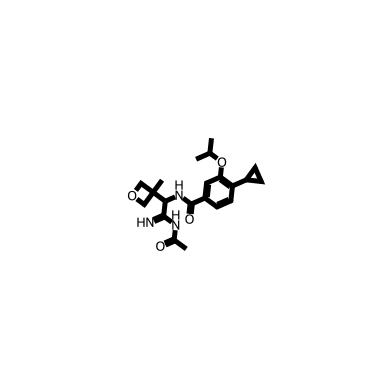 CC(=O)NC(=N)C(NC(=O)c1ccc(C2CC2)c(OC(C)C)c1)C1(C)COC1